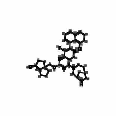 O=C1CCC2(COc3nc(N4CCC5CNC(C5)C4)c4cnc(-c5cccc6cccc(Cl)c56)c(F)c4n3)CCCN12